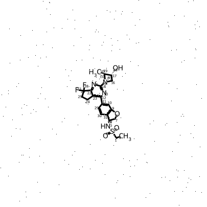 CCS(=O)(=O)N[C@H]1COc2cc(-c3nc(N4C[C@@H](O)[C@@H]4C)nc4c3CCC4(F)F)ccc21